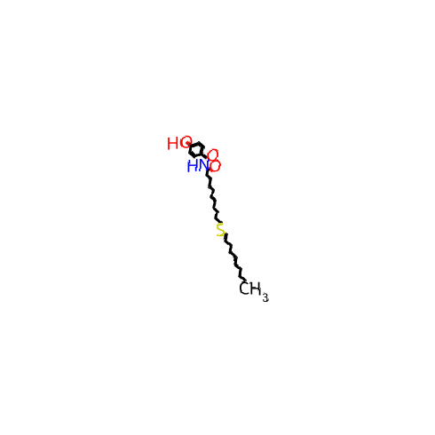 CCCCCCCCCCSCCCCCCCCCCC(=O)NC(=O)c1ccc(O)cc1